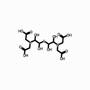 O=C(O)CN(CC(=O)O)C(O)C(O)SC(O)C(O)N(CC(=O)O)CC(=O)O